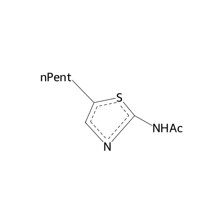 CCCCCc1cnc(NC(C)=O)s1